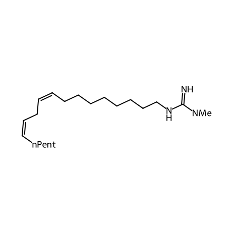 CCCCC/C=C\C/C=C\CCCCCCCCNC(=N)NC